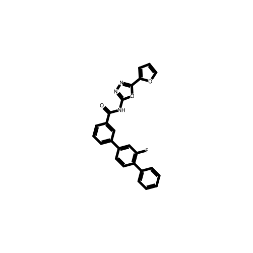 O=C(Nc1nnc(-c2ccco2)o1)c1cccc(-c2ccc(-c3ccccc3)c(F)c2)c1